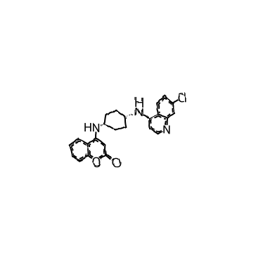 O=c1cc(N[C@H]2CC[C@@H](Nc3ccnc4cc(Cl)ccc34)CC2)c2ccccc2o1